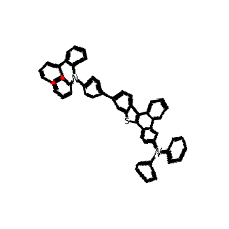 c1ccc(-c2ccccc2N(c2ccccc2)c2ccc(-c3ccc4c(c3)sc3c5ccc(N(c6ccccc6)c6ccccc6)cc5c5ccccc5c43)cc2)cc1